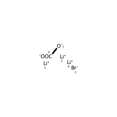 O=C([O-])[O-].[Br-].[Li+].[Li+].[Li+]